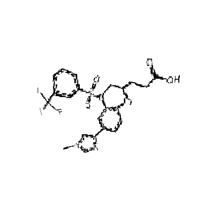 Cn1cnc(-c2ccc3c(c2)N(S(=O)(=O)c2cccc(C(F)(F)F)c2)CC(CCC(=O)O)O3)c1